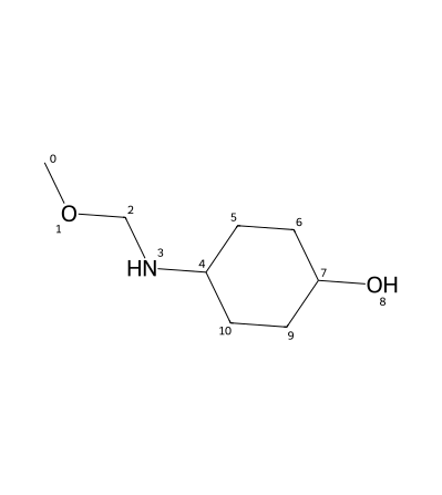 COCNC1CCC(O)CC1